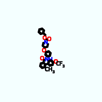 Cc1cccc(C(=O)Nc2cccc(OC3CCN(C(=O)OCc4ccccc4)CC3)c2)c1-c1ccc(OC(F)(F)F)cc1